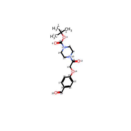 CC(C)(C)OC(=O)N1CCN(C(=O)COc2ccc(C=O)cc2)CC1